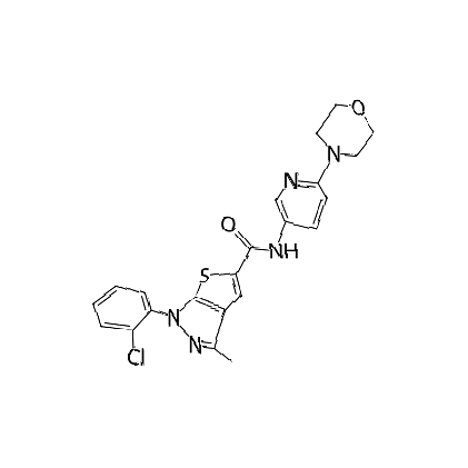 Cc1nn(-c2ccccc2Cl)c2sc(C(=O)Nc3ccc(N4CCOCC4)nc3)cc12